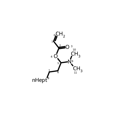 C=CC(=O)OC(CCCCCCCCC)N(C)C